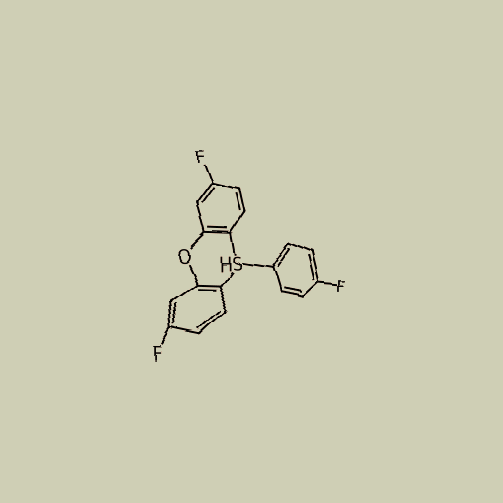 Fc1ccc([SH]2c3ccc(F)cc3Oc3cc(F)ccc32)cc1